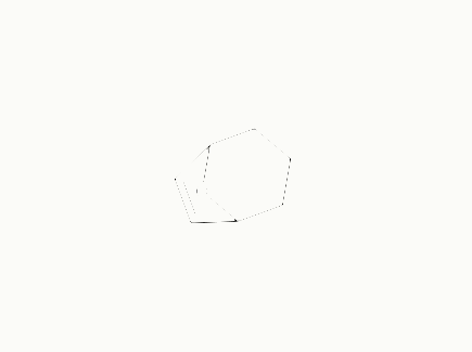 [C]1CC2C=CC(C1)O2